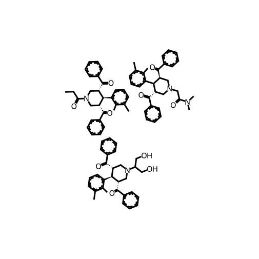 CCC(=O)N1C[C@H](C(=O)c2ccccc2)[C@@H](c2cccc(C)c2C)[C@H](C(=O)c2ccccc2)C1.Cc1cccc(C2[C@@H](C(=O)c3ccccc3)CN(CC(=O)N(C)C)C[C@@H]2C(=O)c2ccccc2)c1C.Cc1cccc([C@@H]2[C@@H](C(=O)c3ccccc3)CN(C(CO)CO)C[C@H]2C(=O)c2ccccc2)c1C